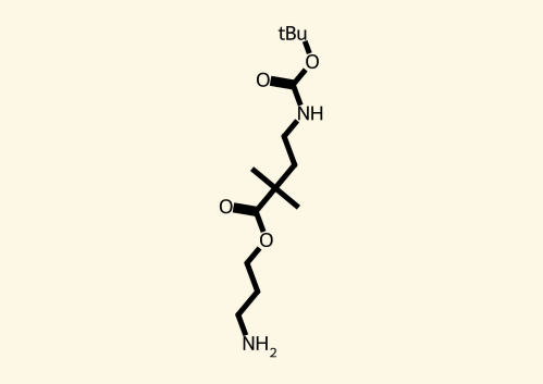 CC(C)(C)OC(=O)NCCC(C)(C)C(=O)OCCCN